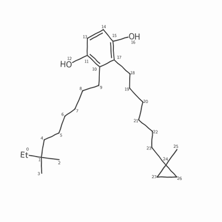 CCC(C)(C)CCCCCCc1c(O)ccc(O)c1CCCCCCC1(C)CC1